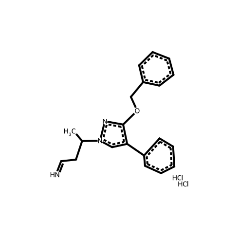 CC(CC=N)n1cc(-c2ccccc2)c(OCc2ccccc2)n1.Cl.Cl